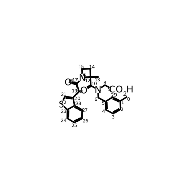 Cc1cccc(CN(CC(=O)O)C(=O)C2(C)CCN2C(=O)Cc2csc3ccccc23)c1